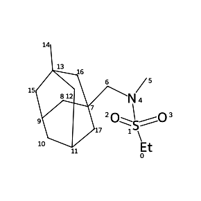 CCS(=O)(=O)N(C)CC12CC3CC(CC(C)(C3)C1)C2